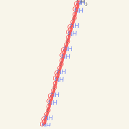 CNC(=O)COCC(=O)NCCOCCOCCOCCNC(=O)COCC(=O)NCCOCCOCCOCCNC(=O)COCC(=O)NCCOCCOCCOCCNC(=O)COCC(=O)NCCOCCOCCOCCNC(=O)COCC(=O)NCCOCCOCCOCCNC(=O)COCC(N)=O